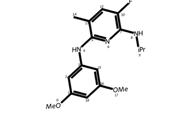 COc1cc(Nc2nc(NC(C)C)c(F)cc2C)cc(OC)c1